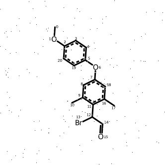 COc1ccc(Oc2cc(C)c(C(Br)C=O)c(C)c2)cc1